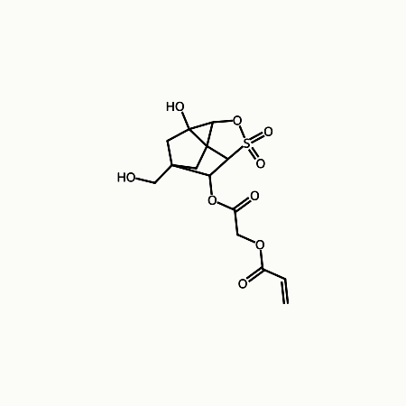 C=CC(=O)OCC(=O)OC1C2C34CC1(CO)CC3(O)C4OS2(=O)=O